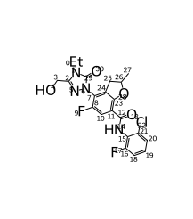 CCn1c(CO)nn(-c2c(F)cc(C(=O)Nc3c(F)cccc3Cl)c3c2CC(C)O3)c1=O